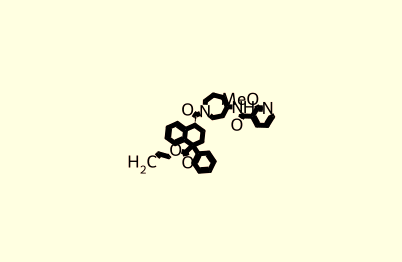 C=CCOC(=O)C1(c2ccccc2)CC[C@@H](C(=O)N2CCCC(NC(=O)c3cccnc3OC)CC2)c2ccccc21